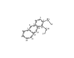 CSc1ccc2cc3ccccc3cc2c1SC